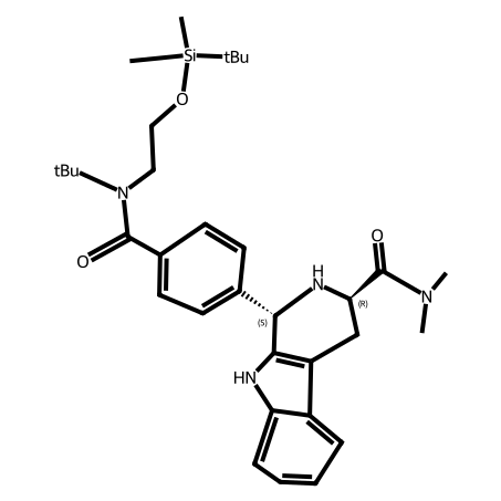 CN(C)C(=O)[C@H]1Cc2c([nH]c3ccccc23)[C@H](c2ccc(C(=O)N(CCO[Si](C)(C)C(C)(C)C)C(C)(C)C)cc2)N1